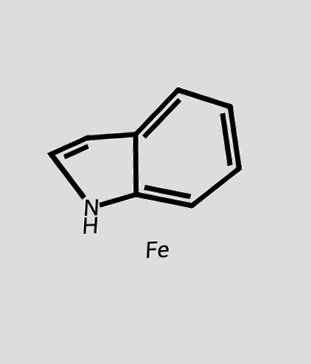 [Fe].c1ccc2[nH]ccc2c1